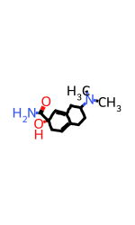 CN(C)C1CCC2=CCC(O)(C(N)=O)C=C2C1